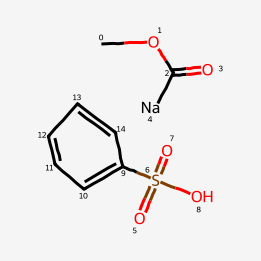 CO[C](=O)[Na].O=S(=O)(O)c1ccccc1